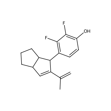 C=C(C)C1=CC2CCCC2C1c1ccc(O)c(F)c1F